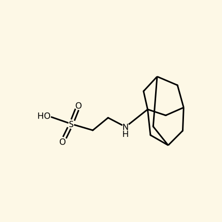 O=S(=O)(O)CCNC12CC3CC(CC(C3)C1)C2